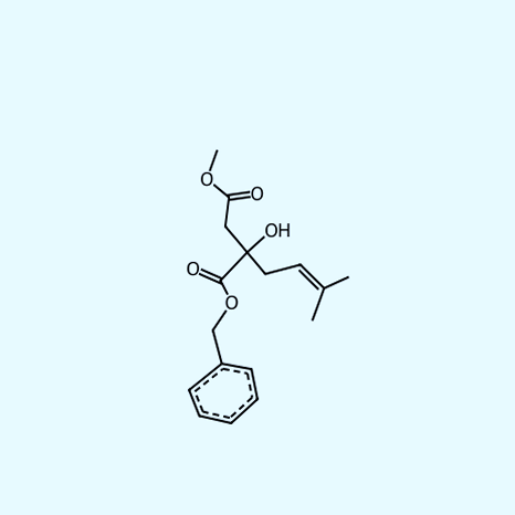 COC(=O)CC(O)(CC=C(C)C)C(=O)OCc1ccccc1